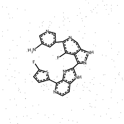 Nc1cncc(-c2ncc3[nH]nc(-c4nc5c(-c6ccc(F)s6)nccc5[nH]4)c3c2F)c1